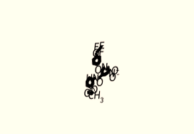 CS(=O)(=O)c1cccc(NC(=O)c2cc([N+](=O)[O-])cnc2Oc2ccc(OC(F)(F)F)cc2)c1